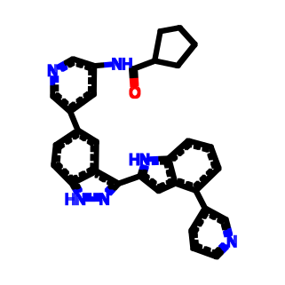 O=C(Nc1cncc(-c2ccc3[nH]nc(-c4cc5c(-c6cccnc6)cccc5[nH]4)c3c2)c1)C1CCCC1